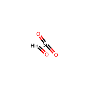 O=[Si]=O.[O]=[InH]